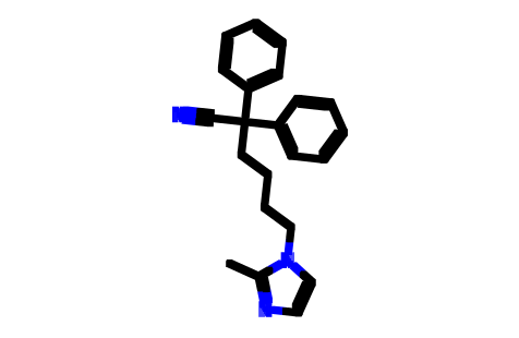 Cc1nccn1CCCCC(C#N)(c1ccccc1)c1ccccc1